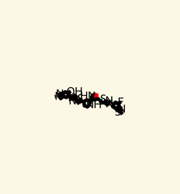 Cc1nc2c(F)cc(-n3cc4cc(C5CCNC(C6CC(c7cc8nn(-c9cc%10cn(C)nc%10cc9O)cc8s7)CCN6)C5)sc4n3)cc2s1